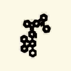 c1ccc(-n2c3ccccc3c3cc4c5ccccc5n(-c5ccc(-c6ccc(C7CCCCC7)c7c8ccccc8c8ccccc8c67)nc5)c4cc32)cc1